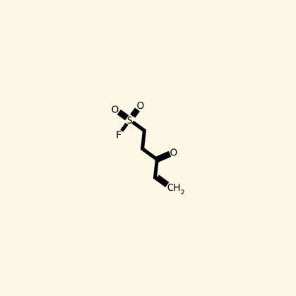 C=CC(=O)CCS(=O)(=O)F